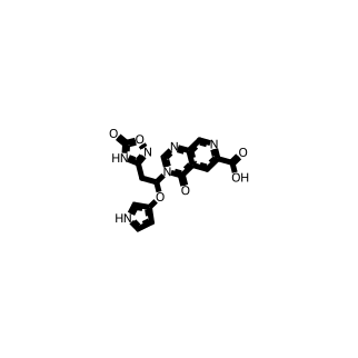 O=C(O)c1cc2c(=O)n(C(Cc3noc(=O)[nH]3)Oc3cc[nH]c3)cnc2cn1